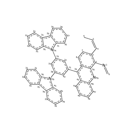 C=Nc1c(/C=C\C)ccc2c(-c3cc(-n4c5ccccc5c5ccccc54)cc(-n4c5ccccc5c5ccccc54)c3)c3ccccc3nc12